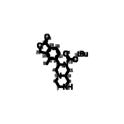 Cc1c(C2CN3CCNCC3CN2C(=O)OC(C)(C)C)ccc2c1COC2=O